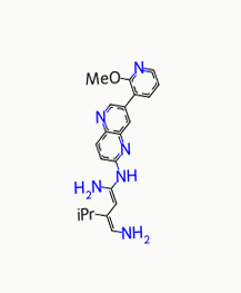 COc1ncccc1-c1cnc2ccc(N/C(N)=C/C(=C\N)C(C)C)nc2c1